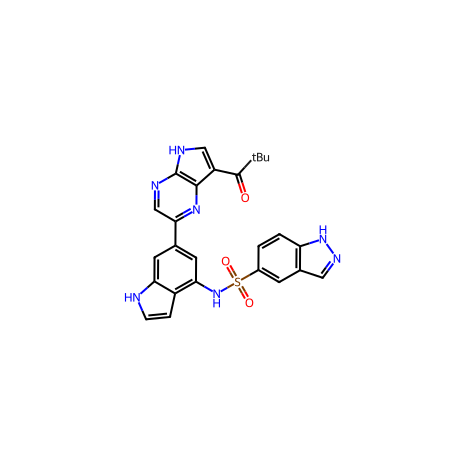 CC(C)(C)C(=O)c1c[nH]c2ncc(-c3cc(NS(=O)(=O)c4ccc5[nH]ncc5c4)c4cc[nH]c4c3)nc12